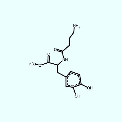 CCCCOC(=O)C(Cc1ccc(O)c(O)c1)NC(=O)CCCN